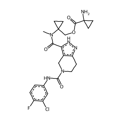 CN(C(=O)c1[nH]nc2c1CN(C(=O)Nc1ccc(F)c(Cl)c1)CC2)C1(COC(=O)C2(N)CC2)CC1